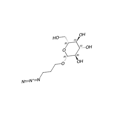 [N-]=[N+]=NCCCO[C@@H]1O[C@H](CO)[C@@H](O)[C@H](O)[C@H]1O